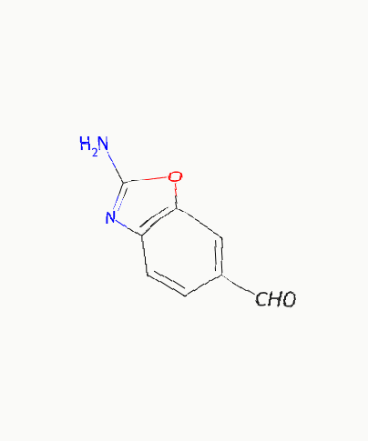 Nc1nc2ccc(C=O)cc2o1